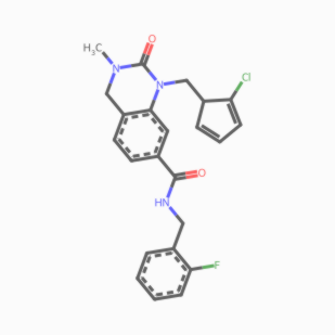 CN1Cc2ccc(C(=O)NCc3ccccc3F)cc2N(CC2C=CC=C2Cl)C1=O